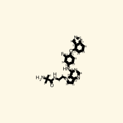 CC(C)(N)C(=O)NCCn1ccc2ncnc(Nc3ccc(Oc4cccc5sncc45)c(F)c3)c21